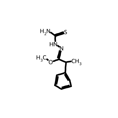 COC(=NNC(N)=S)C(C)c1ccccc1